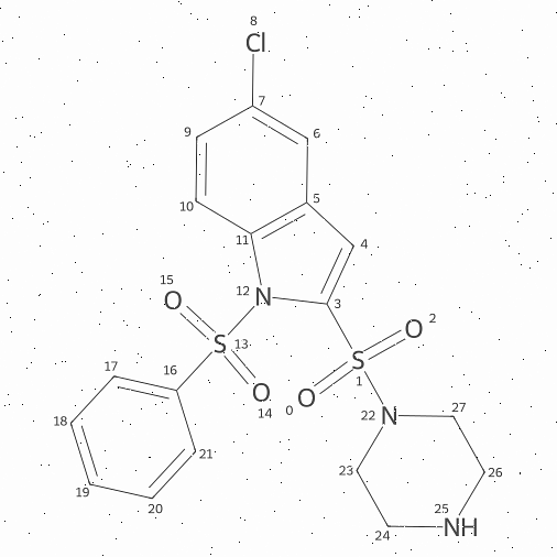 O=S(=O)(c1cc2cc(Cl)ccc2n1S(=O)(=O)c1ccccc1)N1CCNCC1